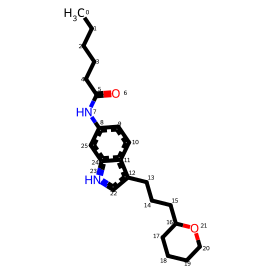 CCCCCC(=O)Nc1ccc2c(CCCC3CCCCO3)c[nH]c2c1